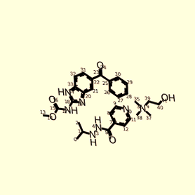 CC(C)NNC(=O)c1ccncc1.COC(=O)Nc1nc2cc(C(=O)c3ccccc3)ccc2[nH]1.C[N+](C)(C)CCO